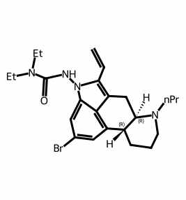 C=Cc1c2c3c(cc(Br)cc3n1NC(=O)N(CC)CC)[C@H]1CCCN(CCC)[C@@H]1C2